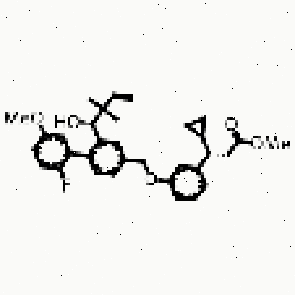 C=CC(C)(C)[C@H](O)c1cc(COc2cccc([C@@H](CC(=O)OC)C3CC3)c2)ccc1-c1cc(OC)ccc1F